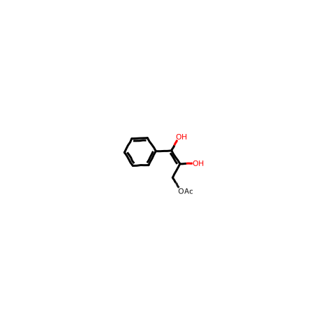 CC(=O)OC/C(O)=C(/O)c1ccccc1